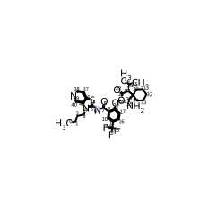 CCCCn1/c(=N/C(=O)c2cc(C(F)(F)F)ccc2OOC(=O)[C@@H](C(C)C)C2(CN)CCCCC2)sc2ccncc21